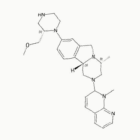 COC[C@@H]1CNCCN1c1ccc2c(c1)CN1[C@H](C)CN(C3C=Cc4cccnc4N3C)C[C@H]21